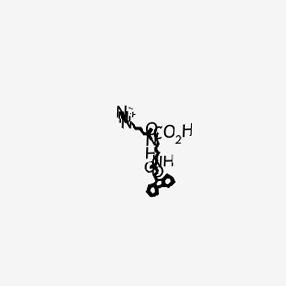 [N-]=[N+]=NCCCCC(=O)NC(CCCCNC(=O)OCC1c2ccccc2-c2ccccc21)C(=O)O